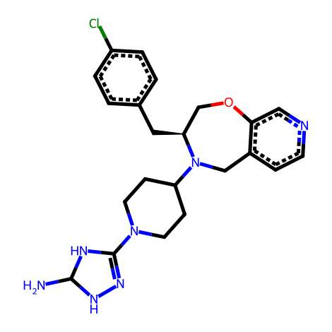 NC1NN=C(N2CCC(N3Cc4ccncc4OC[C@@H]3Cc3ccc(Cl)cc3)CC2)N1